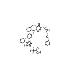 CC(C)(CC(=O)N[C@@H]1CCc2ccccc2N(Cc2ccc(-c3ccccc3-c3nnn[nH]3)cc2)C1=O)NCCOCc1ccccc1.O=C(O)C(F)(F)F